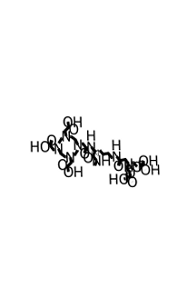 CNC(=O)[C@@H](CCCCNC(=O)CN(COP(O)O)CO[PH](=O)O)NC(=O)CN1CCN(CC(=O)O)CCN(CC(=O)O)CCN(CC(=O)O)CC1